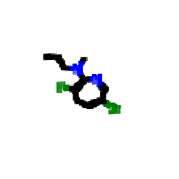 CCCN(C)C1=C(F)CC=C(Br)C=N1